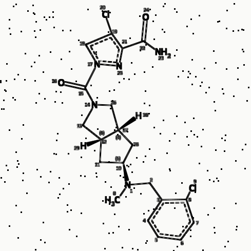 CN(Cc1ccccc1Cl)[C@H]1C[C@@H]2CN(C(=O)n3cc(Cl)c(C(N)=O)n3)C[C@@H]2C1